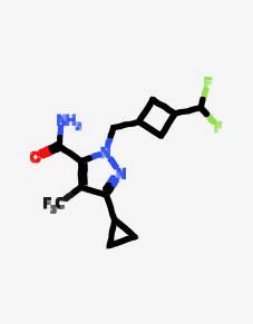 NC(=O)c1c(C(F)(F)F)c(C2CC2)nn1CC1CC(C(F)F)C1